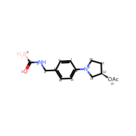 BC(=O)NCc1ccc(N2CC[C@@H](OC(C)=O)C2)cc1